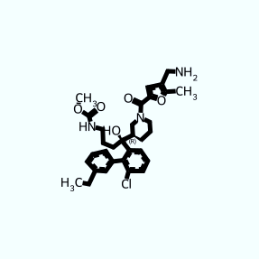 CCc1cccc(-c2c(Cl)cccc2[C@](O)(CCCNC(=O)OC)[C@@H]2CCCN(C(=O)c3cc(CN)c(C)o3)C2)c1